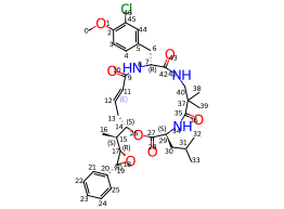 COc1ccc(C[C@H]2NC(=O)/C=C/C[C@@H]([C@H](C)[C@H]3O[C@@H]3c3ccccc3)OC(=O)[C@H](CC(C)C)NC(=O)C(C)(C)CNC2=O)cc1Cl